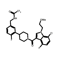 COCCn1cc(C(=O)N2CCC(c3cc(CNC(=O)C(F)(F)F)ccc3F)CC2)c2c(F)ccc(Cl)c21